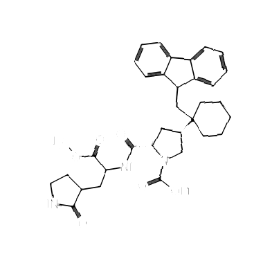 COC(=O)C(CC1CCNC1=O)NC(=O)[C@@H]1C[C@@H](C2(CC3c4ccccc4-c4ccccc43)CCCCC2)CN1C(=O)O